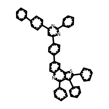 c1ccc(-c2ccc(-c3cc(-c4ccc(-c5ccc6nc(-c7ccccc7)c7c(-c8ccccc8)c(-c8ccccc8)sc7c6c5)cc4)nc(-c4ccccc4)n3)cc2)cc1